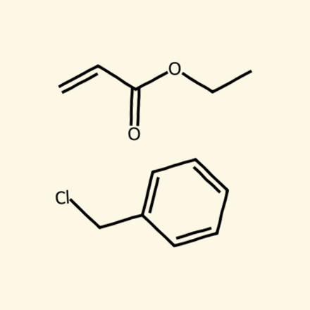 C=CC(=O)OCC.ClCc1ccccc1